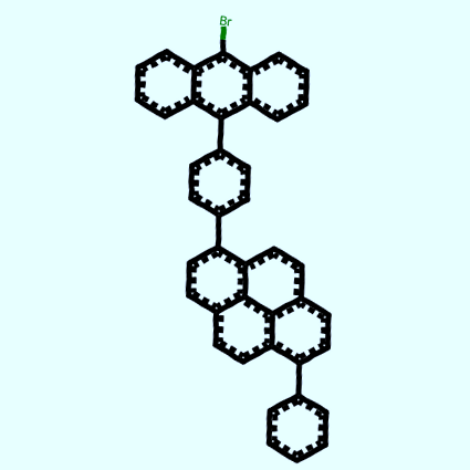 Brc1c2ccccc2c(-c2ccc(-c3ccc4ccc5c(-c6ccccc6)ccc6ccc3c4c65)cc2)c2ccccc12